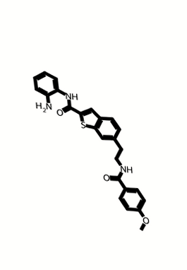 COc1ccc(C(=O)NCCc2ccc3cc(C(=O)Nc4ccccc4N)sc3c2)cc1